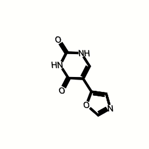 O=c1[nH]cc(-c2cnco2)c(=O)[nH]1